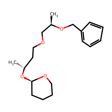 C[C@H](COCC[C@@H](C)O[C@@H]1CCCCO1)OCc1ccccc1